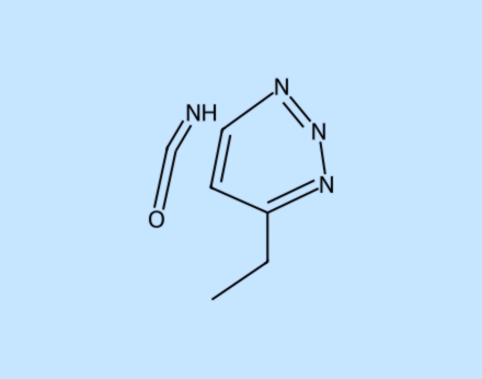 CCc1ccnnn1.N=C=O